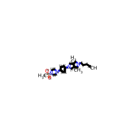 C#CCCCN1C[C@@]2(C)CN(c3ccc(N4CCN(S(C)(=O)=O)CC4)cc3)C[C@@]2(C)C1